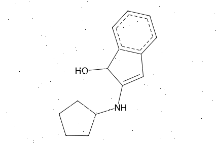 OC1C(NC2CCCC2)=Cc2ccccc21